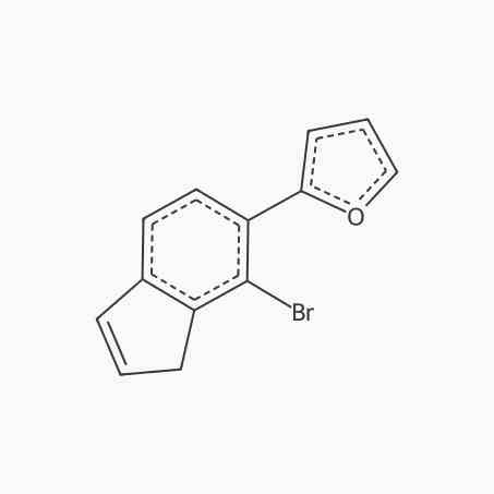 Brc1c(-c2ccco2)ccc2c1CC=C2